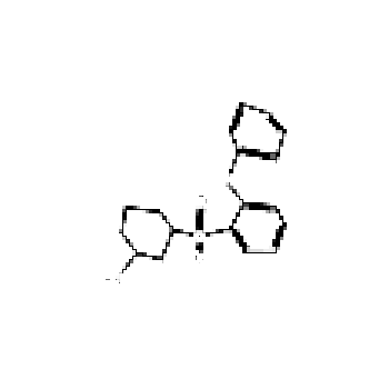 O=S(=O)(c1ccccc1Sc1ccccc1)C1CCCC(S)C1